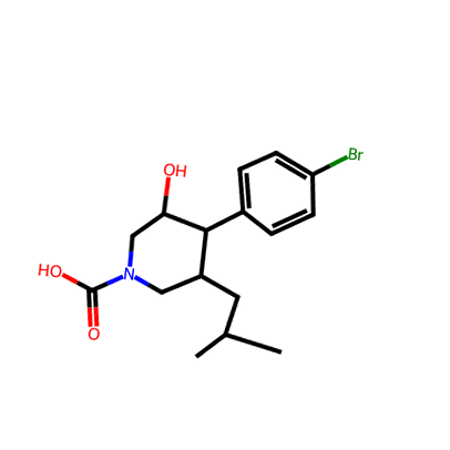 CC(C)CC1CN(C(=O)O)CC(O)C1c1ccc(Br)cc1